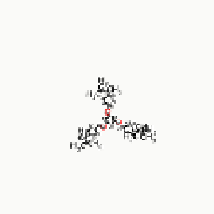 CC(C)C(C)c1ccc(COc2cc(OCc3ccc(C(C)C(C)C)cc3)cc(OCc3ccc(C(C)(C)C(C)C)cc3)c2)cc1